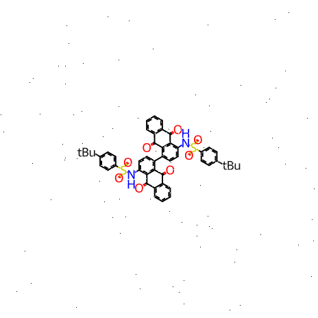 CC(C)(C)c1ccc(S(=O)(=O)Nc2ccc(-c3ccc(NS(=O)(=O)c4ccc(C(C)(C)C)cc4)c4c3C(=O)c3ccccc3C4=O)c3c2C(=O)c2ccccc2C3=O)cc1